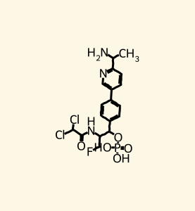 CC(N)c1ccc(-c2ccc(C(OP(=O)(O)O)C(CF)NC(=O)C(Cl)Cl)cc2)cn1